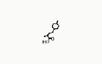 CC(=CCC1CCC(C)CC1)C(=O)O